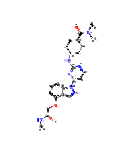 CNC(=O)COc1cccc2c1cnn2-c1ccnc(N[C@H]2CC[C@H](C(=O)N(C)C)CC2)n1